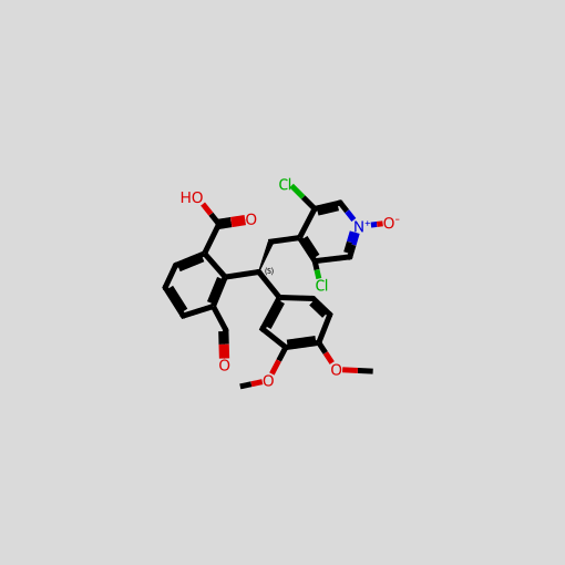 COc1ccc([C@H](Cc2c(Cl)c[n+]([O-])cc2Cl)c2c(C=O)cccc2C(=O)O)cc1OC